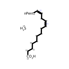 CCCCC/C=C\C/C=C\CCCCCCCC(=O)O.S